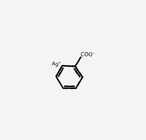 O=C([O-])c1ccccc1.[Ag+]